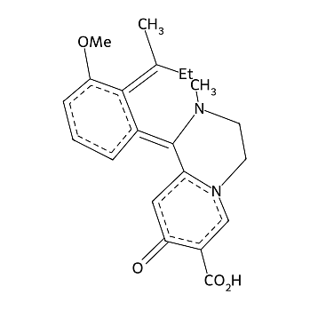 CC/C(C)=c1/c(OC)ccc/c1=C1\c2cc(=O)c(C(=O)O)cn2CCN1C